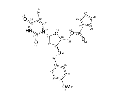 COc1ccc(CO[C@H]2C[C@H](n3cc(F)c(=O)[nH]c3=O)O[C@@H]2COC(=O)c2cccs2)cc1